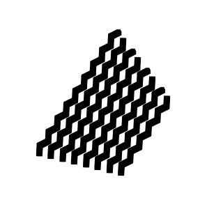 CCCCCCCCCCCC.CCCCCCCCCCCCC.CCCCCCCCCCCCCC.CCCCCCCCCCCCCCC.CCCCCCCCCCCCCCCC.CCCCCCCCCCCCCCCCC.CCCCCCCCCCCCCCCCCC.CCCCCCCCCCCCCCCCCCC